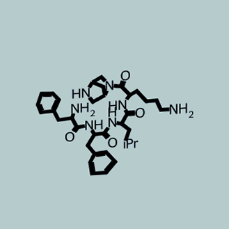 CC(C)CC(NC(=O)C(Cc1ccccc1)NC(=O)C(N)Cc1ccccc1)C(=O)NC(CCCCN)C(=O)N1CC2CC1CN2